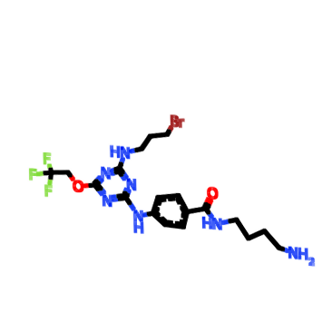 NCCCCNC(=O)c1ccc(Nc2nc(NCCCBr)nc(OCC(F)(F)F)n2)cc1